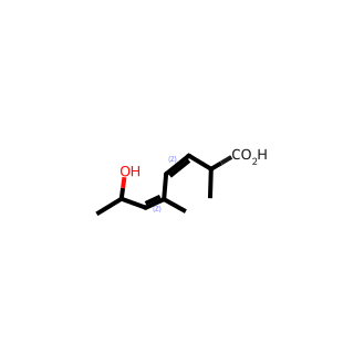 CC(/C=C\C(C)C(=O)O)=C/C(C)O